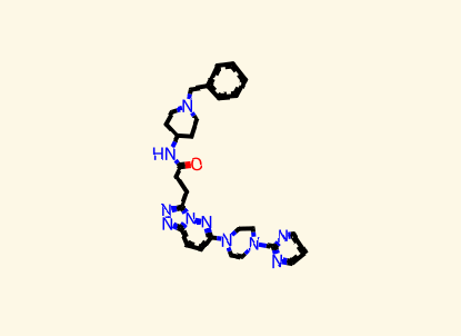 O=C(CCc1nnc2ccc(N3CCN(c4ncccn4)CC3)nn12)NC1CCN(Cc2ccccc2)CC1